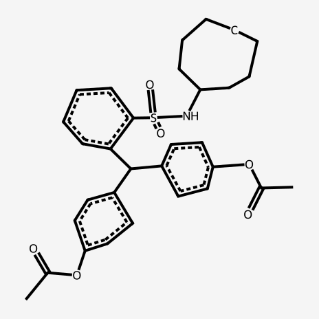 CC(=O)Oc1ccc(C(c2ccc(OC(C)=O)cc2)c2ccccc2S(=O)(=O)NC2CCCCCCC2)cc1